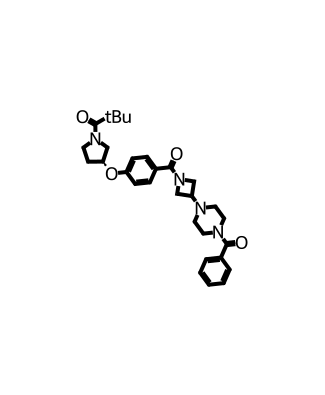 CC(C)(C)C(=O)N1CC[C@@H](Oc2ccc(C(=O)N3CC(N4CCN(C(=O)c5ccccc5)CC4)C3)cc2)C1